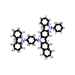 c1ccc(-n2c3ccccc3c3cc4c(cc32)c2cc3ccccc3cc2n4-c2ccc(-n3c4ccccc4c4ccccc43)cc2)cc1